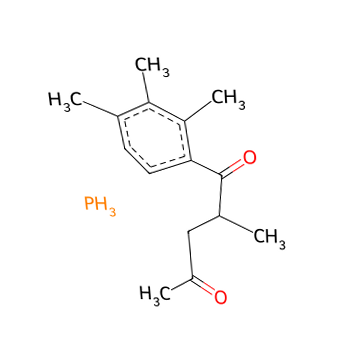 CC(=O)CC(C)C(=O)c1ccc(C)c(C)c1C.P